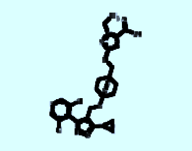 CCn1nc(OCC23CCC(OCc4c(-c5c(Cl)cncc5Cl)noc4C4CC4)(CC2)CC3)cc1C(=O)O